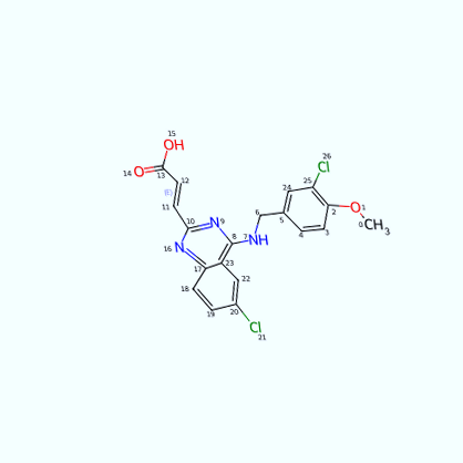 COc1ccc(CNc2nc(/C=C/C(=O)O)nc3ccc(Cl)cc23)cc1Cl